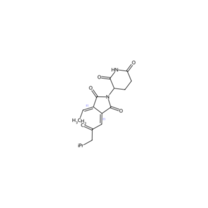 C=C(/C=C1/C(=O)N(C2CCC(=O)NC2=O)C(=O)/C1=C/C)CC(C)C